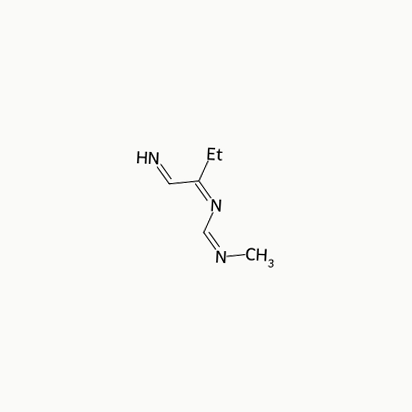 CC/C(C=N)=N/C=N\C